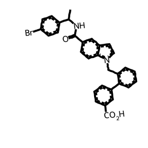 CC(NC(=O)c1ccc2c(ccn2Cc2ccccc2-c2cccc(C(=O)O)c2)c1)c1ccc(Br)cc1